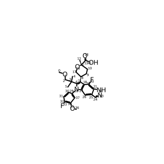 COCC(C)(C)c1c([C@@H]2CC[C@@](C)(C(=O)O)OC2)c2c(F)c3[nH]ncc3cc2n1-c1ccc(F)c(OC)c1